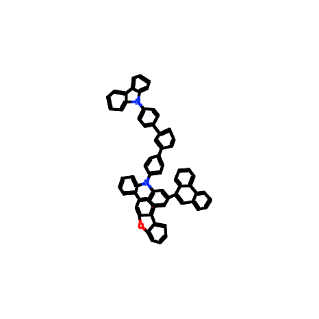 c1cc(-c2ccc(N(c3cccc(-c4cc5ccccc5c5ccccc45)c3)c3ccccc3-c3ccc4c(c3)oc3ccccc34)cc2)cc(-c2ccc(-n3c4ccccc4c4ccccc43)cc2)c1